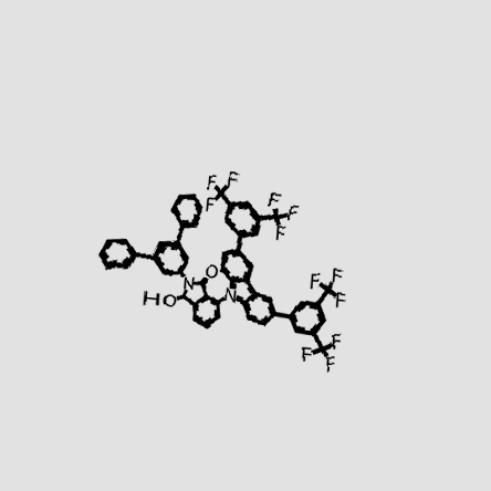 O=C1c2c(cccc2-n2c3ccc(-c4cc(C(F)(F)F)cc(C(F)(F)F)c4)cc3c3cc(-c4cc(C(F)(F)F)cc(C(F)(F)F)c4)ccc32)C(O)N1c1cc(-c2ccccc2)cc(-c2ccccc2)c1